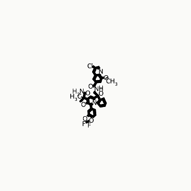 COc1cc(C(=O)NC[C@@](O)(c2ccccc2)c2cc3c(c(-c4ccc5c(c4)OC(F)(F)O5)n2)OC[C@]3(C)C(N)=O)cc2cc(Cl)cnc12